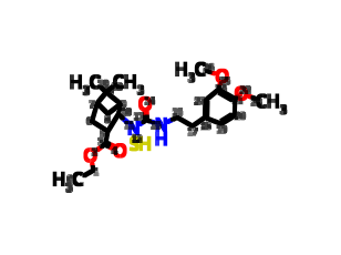 CCOC(=O)C1CC2CC(C1N(S)C(=O)NCCc1ccc(OC)c(OC)c1)C2(C)C